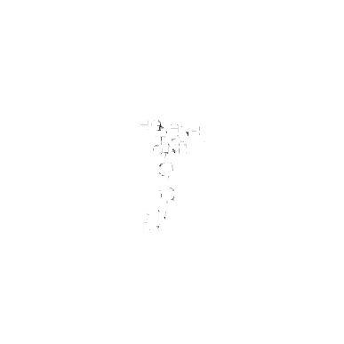 CC(C)(C)CNCc1ccc(-c2ccc(C(=O)N[C@H](C(=O)NO)C(C)(C)N)cc2)cc1